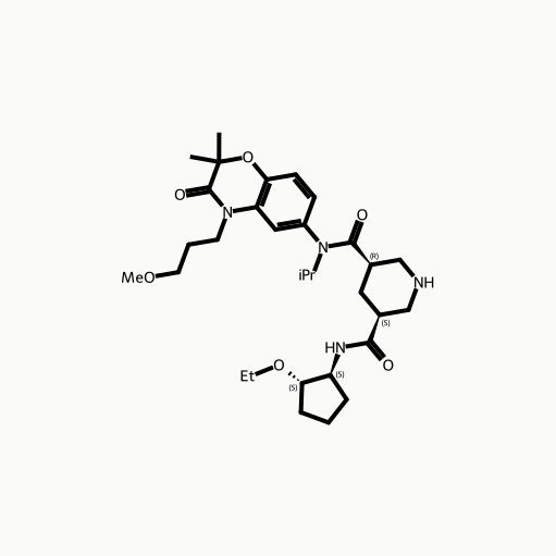 CCO[C@H]1CCC[C@@H]1NC(=O)[C@@H]1CNC[C@H](C(=O)N(c2ccc3c(c2)N(CCCOC)C(=O)C(C)(C)O3)C(C)C)C1